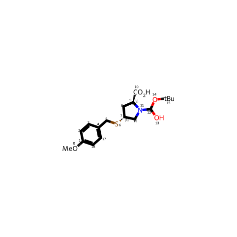 COc1ccc(CS[C@@H]2C[C@@H](C(=O)O)N(C(O)OC(C)(C)C)C2)cc1